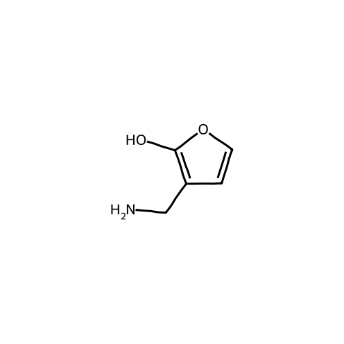 NCc1ccoc1O